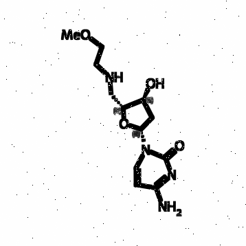 COCCNC[C@H]1O[C@@H](n2ccc(N)nc2=O)C[C@@H]1O